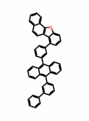 c1ccc(-c2cccc(-c3c4ccccc4c(-c4cccc(-c5cccc6oc7c8ccccc8ccc7c56)c4)c4ccccc34)c2)cc1